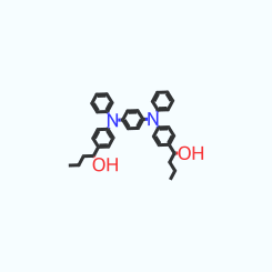 CCCC(O)c1ccc(N(c2ccccc2)c2ccc(N(c3ccccc3)c3ccc(C(O)CCC)cc3)cc2)cc1